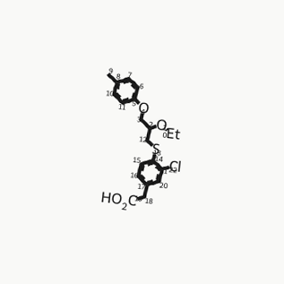 CCOC(COc1ccc(C)cc1)CSc1ccc(CC(=O)O)cc1Cl